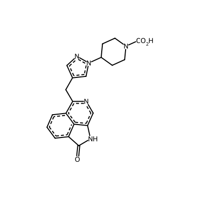 O=C1Nc2cnc(Cc3cnn(C4CCN(C(=O)O)CC4)c3)c3cccc1c23